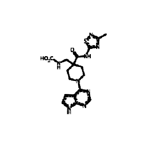 Cc1nsc(NC(=O)C2(CNC(=O)O)CCN(c3ncnc4[nH]ccc34)CC2)n1